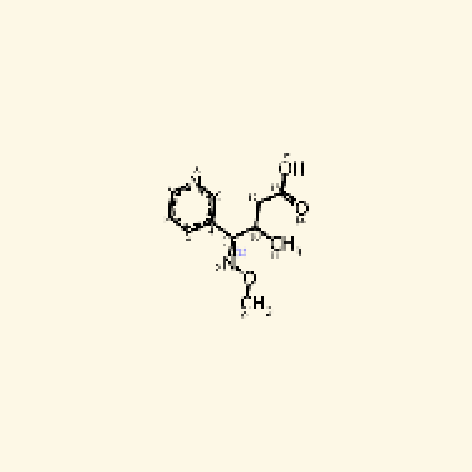 CO/N=C(/c1cccnc1)C(C)CC(=O)O